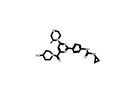 C[C@H]1COCCN1c1cc(C(=O)N2CCC(O)CC2)nc(-c2ccc(NC(=O)NC3CC3)cc2)n1